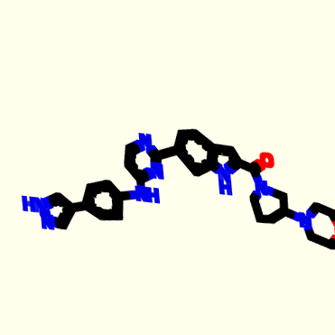 O=C(c1cc2ccc(-c3nccc(Nc4ccc(-c5cn[nH]c5)cc4)n3)cc2[nH]1)N1CCCC(N2CCOCC2)C1